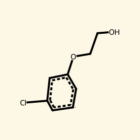 OCCOc1c[c]cc(Cl)c1